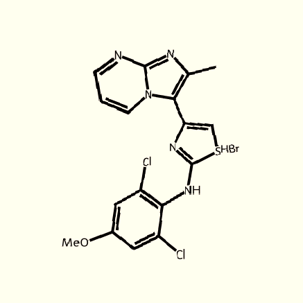 Br.COc1cc(Cl)c(Nc2nc(-c3c(C)nc4ncccn34)cs2)c(Cl)c1